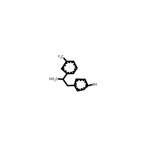 O=C(O)C(Cc1ccc(S)cc1)c1cccc(C(F)(F)F)c1